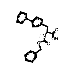 O=C(NC(Cc1ccc(-c2ccccc2)cc1)C(=O)O)OCc1ccccc1